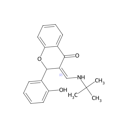 CC(C)(C)N/C=C1\C(=O)c2ccccc2OC1c1ccccc1O